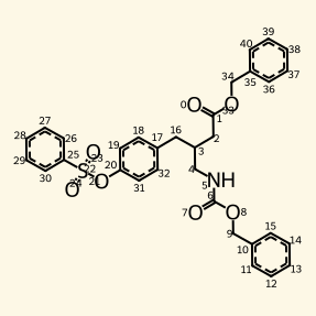 O=C(CC(CNC(=O)OCc1ccccc1)Cc1ccc(OS(=O)(=O)c2ccccc2)cc1)OCc1ccccc1